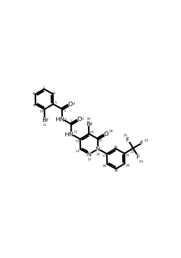 O=C(NC(=O)c1ccccc1Br)Nc1cnn(-c2cccc(C(F)(F)F)c2)c(=O)c1Br